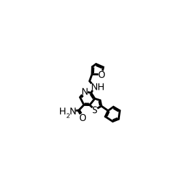 NC(=O)c1cnc(NCc2ccco2)c2cc(-c3ccccc3)sc12